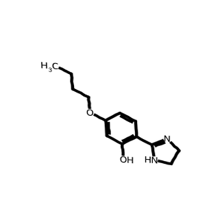 CCCCOc1ccc(C2=NCCN2)c(O)c1